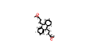 C1=CCc2c(c(CCC3CO3)c3ccccc3c2CCC2CO2)C1